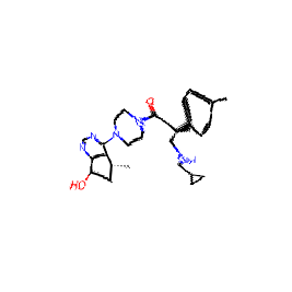 Cc1ccc([C@@H](CNCC2CC2)C(=O)N2CCN(c3ncnc4c3[C@H](C)C[C@H]4O)CC2)cc1